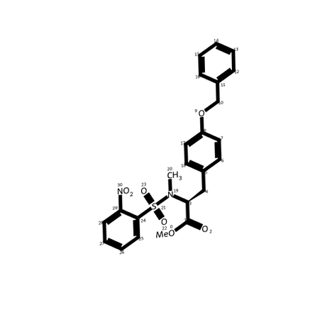 COC(=O)[C@H](Cc1ccc(OCc2ccccc2)cc1)N(C)S(=O)(=O)c1ccccc1[N+](=O)[O-]